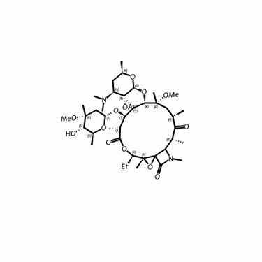 CC[C@H]1OC(=O)[C@H](C)[C@@H](O[C@H]2C[C@@](C)(OC)[C@@H](O)[C@H](C)O2)[C@H](C)[C@@H](O[C@@H]2O[C@H](C)C[C@H](N(C)C)[C@H]2OC(C)=O)[C@](C)(OC)C[C@@H](C)C(=O)[C@H](C)C2N(C)C(=O)C23O[C@]13C